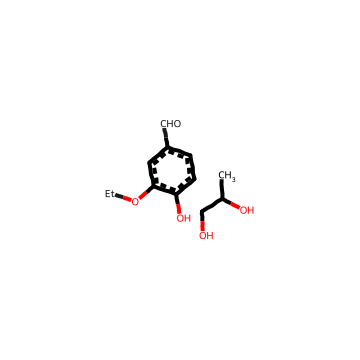 CC(O)CO.CCOc1cc(C=O)ccc1O